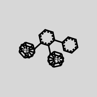 c1ccc(-c2cccc([C]34[CH]5[CH]6[CH]7[CH]3[Fe]6754389%10[CH]4[CH]3[CH]8[CH]9[CH]4%10)c2[C]23[CH]4[CH]5[CH]6[CH]2[Fe]56432789[CH]3[CH]2[CH]7[CH]8[CH]39)cc1